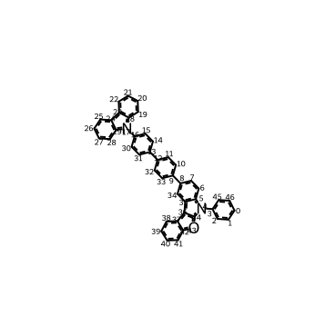 c1ccc(-n2c3ccc(-c4ccc(-c5ccc(-n6c7ccccc7c7ccccc76)cc5)cc4)cc3c3c4ccccc4oc32)cc1